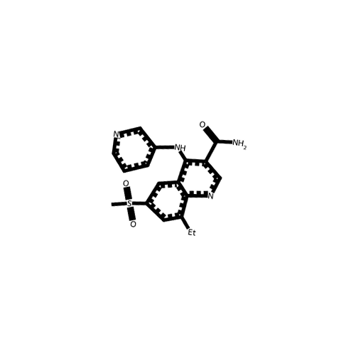 CCc1cc(S(C)(=O)=O)cc2c(Nc3cccnc3)c(C(N)=O)cnc12